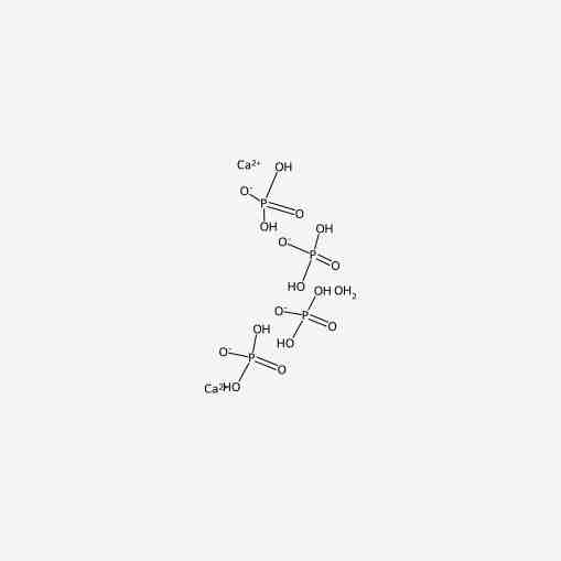 O.O=P([O-])(O)O.O=P([O-])(O)O.O=P([O-])(O)O.O=P([O-])(O)O.[Ca+2].[Ca+2]